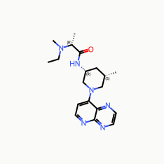 CCN(C)[C@H](C)C(=O)N[C@@H]1C[C@H](C)CN(c2ccnc3nccnc23)C1